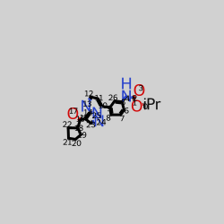 CC(C)OC(=O)Nc1cccc(-c2ccnc3c(C(=O)C4CCCC4)cnn23)c1